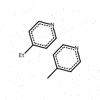 CCc1ccncc1.Cc1ccncc1